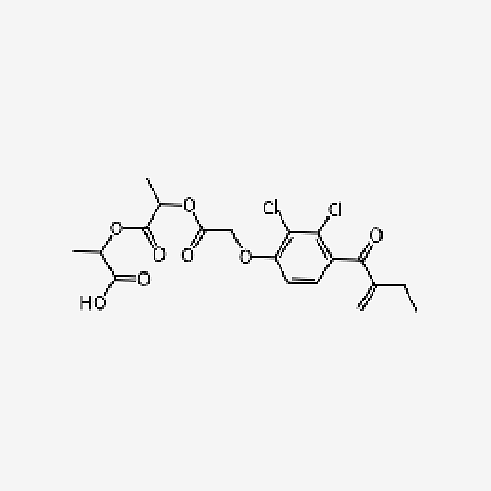 C=C(CC)C(=O)c1ccc(OCC(=O)OC(C)C(=O)OC(C)C(=O)O)c(Cl)c1Cl